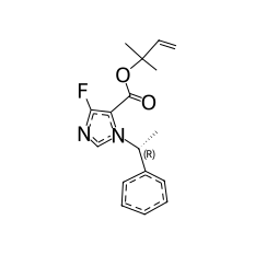 C=CC(C)(C)OC(=O)c1c(F)ncn1[C@H](C)c1ccccc1